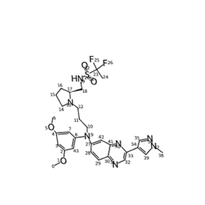 COc1cc(OC)cc(N(CCCN2CCC[C@H]2CNS(=O)(=O)C(C)(F)F)c2ccc3ncc(-c4cnn(C)c4)nc3c2)c1